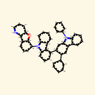 c1ccc(-c2cc3c4ccccc4n(-c4ccccc4)c3cc2-c2cccc3c2c2ccccc2n3-c2cccc3c2oc2cccnc23)cc1